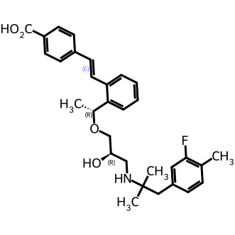 Cc1ccc(CC(C)(C)NC[C@@H](O)CO[C@H](C)c2ccccc2/C=C/c2ccc(C(=O)O)cc2)cc1F